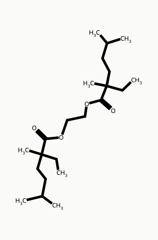 CCC(C)(CCC(C)C)C(=O)OCCOC(=O)C(C)(CC)CCC(C)C